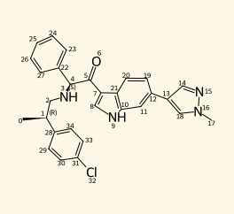 C[C@@H](CN[C@H](C(=O)c1c[nH]c2cc(-c3cnn(C)c3)ccc12)c1ccccc1)c1ccc(Cl)cc1